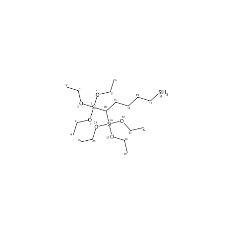 CCO[Si](OCC)(OCC)C(CCCC[SiH3])[Si](OCC)(OCC)OCC